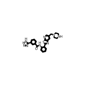 O=C(Nc1ccccc1-c1nc2cc(CN3CCNCC3)cnc2s1)c1cccc(-c2nnn[nH]2)c1